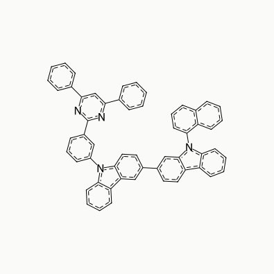 c1ccc(-c2cc(-c3ccccc3)nc(-c3cccc(-n4c5ccccc5c5cc(-c6ccc7c8ccccc8n(-c8cccc9ccccc89)c7c6)ccc54)c3)n2)cc1